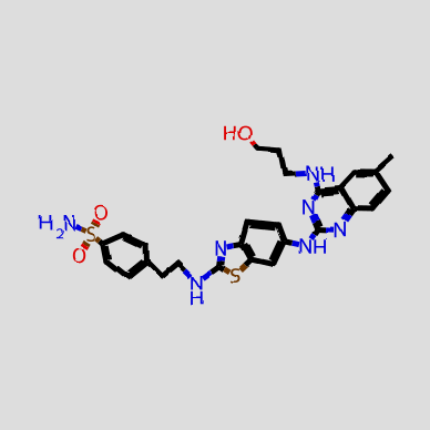 Cc1ccc2nc(Nc3ccc4nc(NCCc5ccc(S(N)(=O)=O)cc5)sc4c3)nc(NCCCO)c2c1